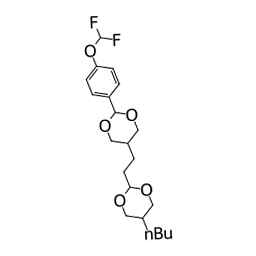 CCCCC1COC(CCC2COC(c3ccc(OC(F)F)cc3)OC2)OC1